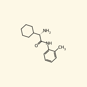 Cc1ccccc1NC(=O)[C@@H](N)C1CCCCC1